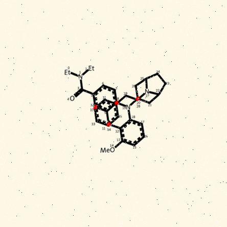 CCN(CC)C(=O)c1ccc2c(c1)Oc1c(OC)cccc1N2C1CC2CCC(C1)N2CCc1ccccc1